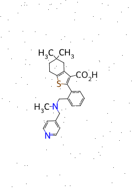 CN(Cc1ccncc1)Cc1ccccc1-c1sc2c(c1C(=O)O)CC(C)(C)CC2